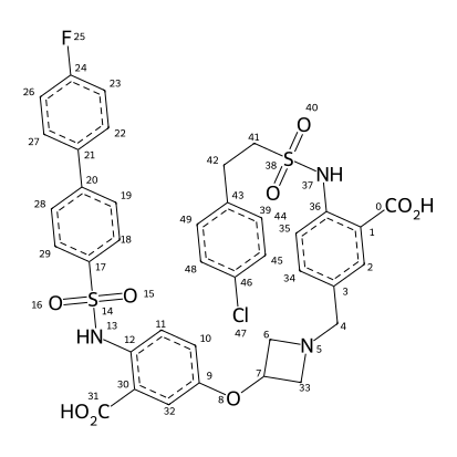 O=C(O)c1cc(CN2CC(Oc3ccc(NS(=O)(=O)c4ccc(-c5ccc(F)cc5)cc4)c(C(=O)O)c3)C2)ccc1NS(=O)(=O)CCc1ccc(Cl)cc1